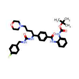 CC(C)(C)OC(=O)Nc1ccccc1NC(=O)c1ccc(C(CCCN2CCOCC2)NC(=O)NCc2ccc(F)cc2)cc1